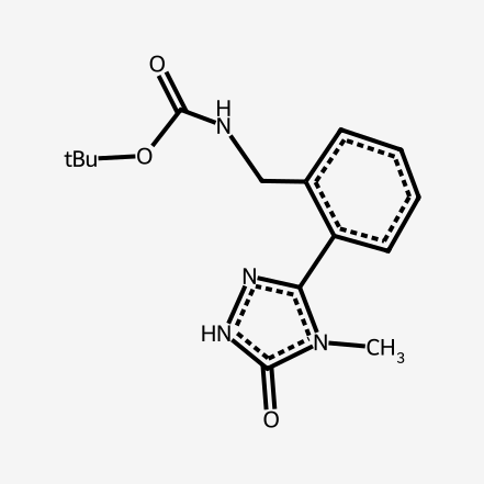 Cn1c(-c2ccccc2CNC(=O)OC(C)(C)C)n[nH]c1=O